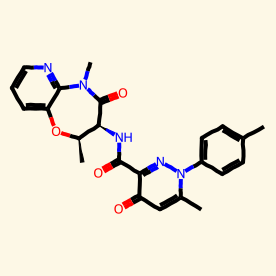 Cc1ccc(-n2nc(C(=O)N[C@@H]3C(=O)N(C)c4ncccc4O[C@@H]3C)c(=O)cc2C)cc1